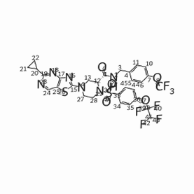 O=C(NCc1ccc(OC(F)(F)F)cc1)[C@H]1CN(c2nc3nc(C4CC4)ncc3s2)CCN1S(=O)(=O)c1ccc(OC(F)(F)C(F)F)cc1